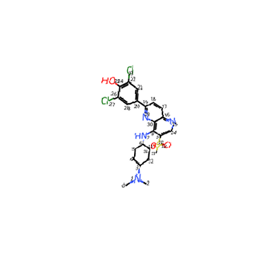 CN(C)[C@H]1CC[C@H](Nc2c(S(C)(=O)=O)cnc3ccc(-c4cc(Cl)c(O)c(Cl)c4)nc23)CC1